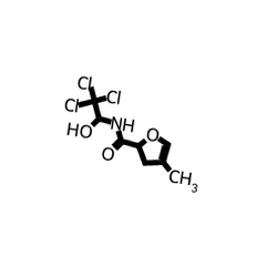 CC1=COC(C(=O)NC(O)C(Cl)(Cl)Cl)C1